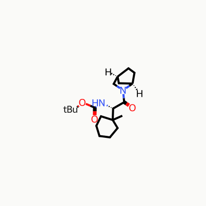 CC(C)(C)OC(=O)N[C@H](C(=O)N1C[C@H]2CC[C@@H]1C2)C1(C)CCCCC1